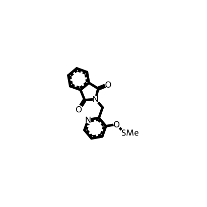 CSOc1cccnc1CN1C(=O)c2ccccc2C1=O